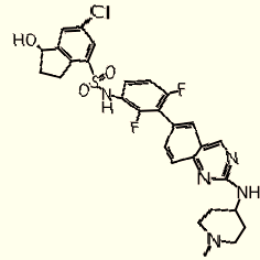 CN1CCC(Nc2ncc3cc(-c4c(F)ccc(NS(=O)(=O)c5cc(Cl)cc6c5CC[C@H]6O)c4F)ccc3n2)CC1